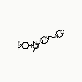 Cc1cc(N2CCN(CCN3CCOCC3)CC2)nn1C1CCC(F)(F)CC1